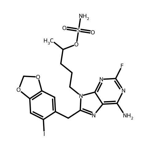 CC(CCCn1c(Cc2cc3c(cc2I)OCO3)nc2c(N)nc(F)nc21)OS(N)(=O)=O